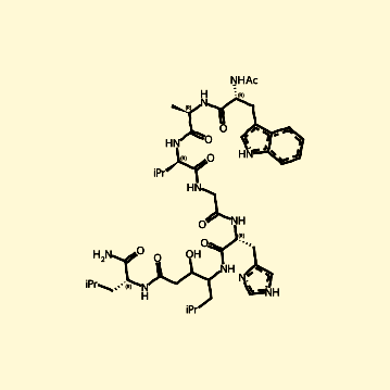 CC(=O)N[C@H](Cc1c[nH]c2ccccc12)C(=O)N[C@H](C)C(=O)N[C@@H](C(=O)NCC(=O)N[C@H](Cc1c[nH]cn1)C(=O)NC(CC(C)C)C(O)CC(=O)N[C@H](CC(C)C)C(N)=O)C(C)C